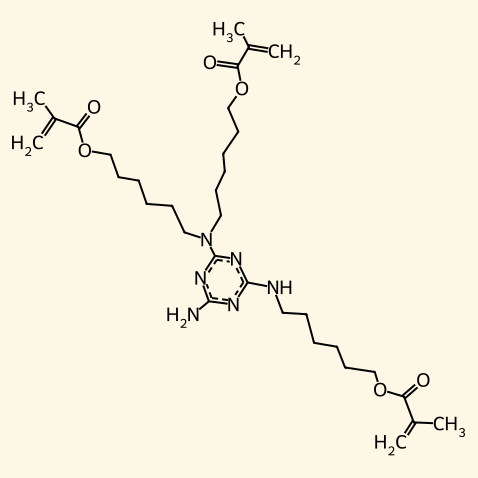 C=C(C)C(=O)OCCCCCCNc1nc(N)nc(N(CCCCCCOC(=O)C(=C)C)CCCCCCOC(=O)C(=C)C)n1